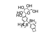 BC(B)(c1ccc2c(c1)CC2)c1cc([C@@H]2O[C@H](CO)[C@@H](O)[C@H](O)[C@H]2O)c(O)cc1C